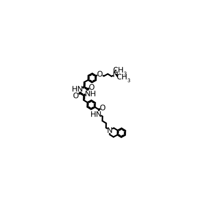 CN(C)CCCOc1ccc(C=c2[nH]c(=O)c(=Cc3ccc(C(=O)NCCCCN4CCc5ccccc5C4)cc3)[nH]c2=O)cc1